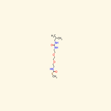 CSC(=O)NCCOCCOCCNC(=O)NCC(C)C